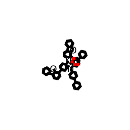 C1=CCC2C(=C1)N(c1ccc(-c3cccc4c3oc3ccccc34)cc1N(c1ccc(-c3ccccc3)cc1)c1ccc(-c3ccccc3)cc1)c1ccc3c(oc4ccccc43)c12